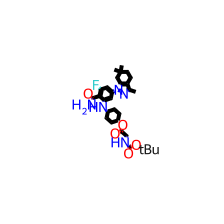 Cc1nn(-c2cc(F)c(C(N)=O)c(NC3CCC(OC(=O)CNC(=O)OC(C)(C)C)CC3)c2)c2c1CCC(C)(C)C2